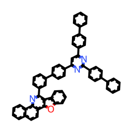 c1ccc(-c2ccc(-c3cc(-c4ccc(-c5cccc(-c6nc7c8ccccc8ccc7c7oc8ccccc8c67)c5)cc4)nc(-c4ccc(-c5ccccc5)cc4)n3)cc2)cc1